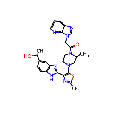 CC1CN(c2sc(C(F)(F)F)nc2-c2nc3cc([C@@H](C)O)ccc3[nH]2)CCN1C(=O)Cn1cnc2cccnc21